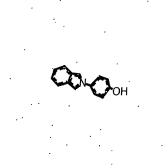 Oc1ccc(-n2cc3ccccc3c2)cc1